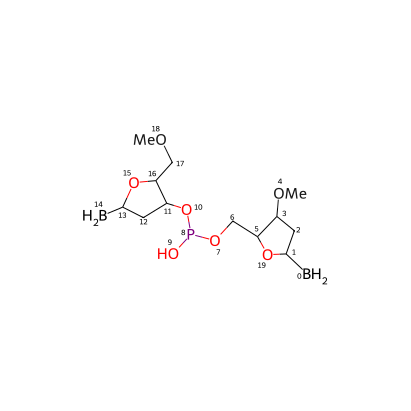 BC1CC(OC)C(COP(O)OC2CC(B)OC2COC)O1